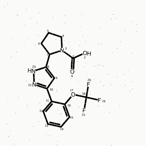 O=C(O)N1CCCC1c1cc(-c2ccccc2OC(F)(F)F)n[nH]1